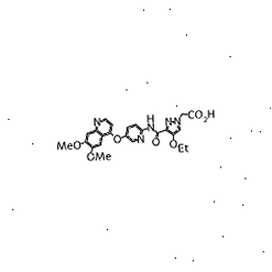 CCOc1cn(CC(=O)O)nc1C(=O)Nc1ccc(Oc2ccnc3cc(OC)c(OC)cc23)cn1